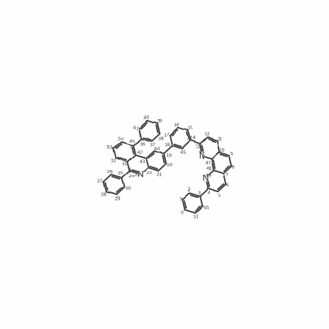 c1ccc(-c2ccc3ccc4ccc(-c5cccc(-c6ccc7nc(-c8ccccc8)c8cccc(-c9ccccc9)c8c7c6)c5)nc4c3n2)cc1